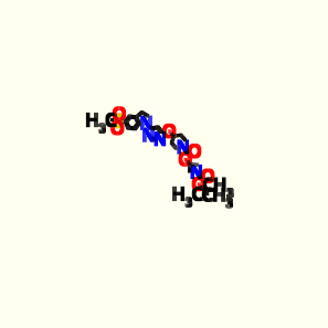 CC(C)(C)OC(=O)N1CC(OC(=O)N2CCC(Oc3cc(N4CCc5cc(S(C)(=O)=O)ccc54)ncn3)CC2)C1